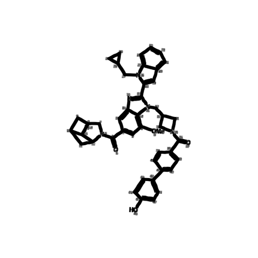 COc1cc(C(=O)N2CC3CC4CC2[C@H]43)cc2nc(-c3cc4ccccc4n3CC3CC3)n(CC3CN(C(=O)c4ccc(-c5ccc(O)cc5)cc4)C3)c12